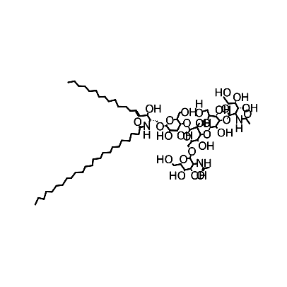 CCCCCCCCCCCCC/C=C/[C@@H](O)[C@H](CO[C@@H]1OC(CO)[C@@H](O[C@@H]2OC(CO[C@@H]3OC(CO)[C@@H](O)[C@H](O)C3NC(C)=O)[C@H](O)[C@H](O[C@H]3OC(CO)[C@H](O)[C@H](O[C@@H]4OC(CO)[C@H](O)[C@H](O)C4NC(C)=O)C3O)C2O)[C@H](O)C1O)NC(=O)CCCCCCCCCCCCCCCCCCCCCCC